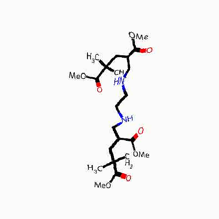 COC(=O)C(CNCCNCC(CC(C)(C)C(=O)OC)C(=O)OC)CC(C)(C)C(=O)OC